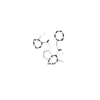 NC(=O)[C@@H](c1ccccc1)N(C(=O)c1ccccc1O)[C@@H]1CCc2c(F)cc(Cl)cc21